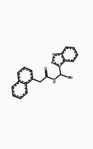 CC(C)(C)C(NC(=O)Cc1cccc2ccccc12)n1nnc2ccccc21